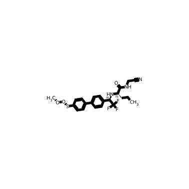 CCC[C@H](N[C@H](c1ccc(-c2ccc(SOOC)cc2)cc1)C(F)(F)F)C(=O)NCC#N